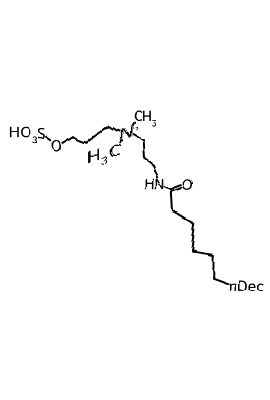 CCCCCCCCCCCCCCCC(=O)NCCC[N+](C)(C)CCCOS(=O)(=O)O